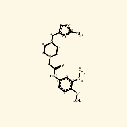 COc1ccc(NC(=O)CN2CCN(Cc3cnc(N)s3)CC2)cc1OC